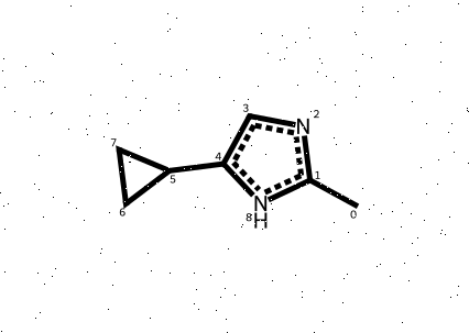 Cc1ncc(C2CC2)[nH]1